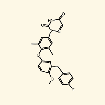 COc1ccc(Oc2c(C)cc(-n3ncc(=O)[nH]c3=O)cc2C)cc1Cc1ccc(F)cc1